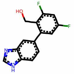 OCc1c(F)cc(F)cc1-c1ccc2[nH]cnc2c1